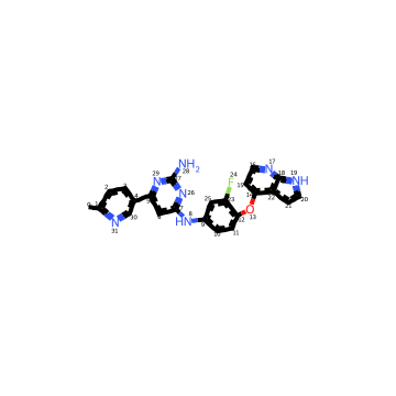 Cc1ccc(-c2cc(Nc3ccc(Oc4ccnc5[nH]ccc45)c(F)c3)nc(N)n2)cn1